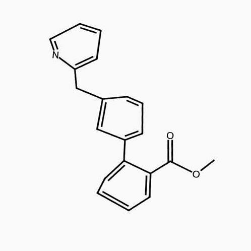 COC(=O)c1ccccc1-c1cccc(Cc2ccccn2)c1